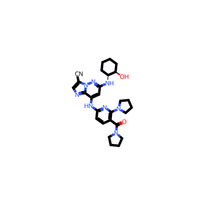 N#Cc1cnc2c(Nc3ccc(C(=O)N4CCCC4)c(N4CCCC4)n3)cc(N[C@@H]3CCCC[C@H]3O)nn12